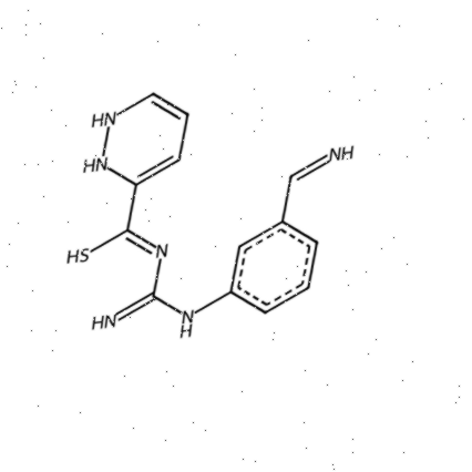 N=Cc1cccc(NC(=N)/N=C(\S)C2=CC=CNN2)c1